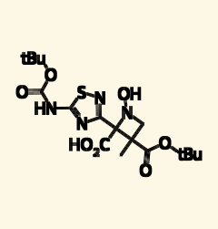 CC(C)(C)OC(=O)Nc1nc(C2(C(=O)O)N(O)CC2(C)C(=O)OC(C)(C)C)ns1